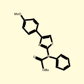 COc1ccc(-c2csc(N(C(=O)OCC(C)C)c3ccccc3)n2)cc1